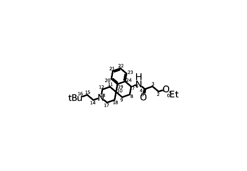 CCOCCC(=O)N[C@H]1CCC2(CCN(CCC(C)(C)C)CC2)c2ccccc21